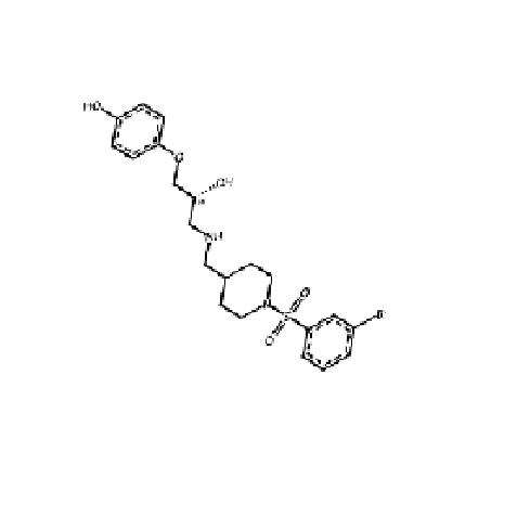 O=S(=O)(c1cccc(Br)c1)N1CCC(CNC[C@@H](O)COc2ccc(O)cc2)CC1